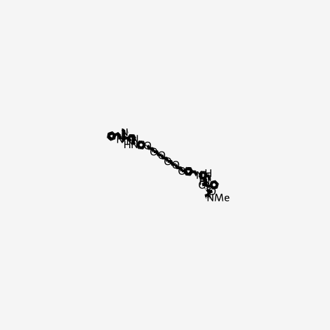 CN[C@@H](C)C(=O)C[C@H](C(=O)N1CC[C@@H]2CCN(CCc3ccc(OCCOCCOCCOCCOCCO[C@H]4CC[C@H](Nc5nccc(-c6cnn(Cc7ccccc7)c6N(C)C)n5)CC4)cc3)C[C@@H]21)C1CCCCC1